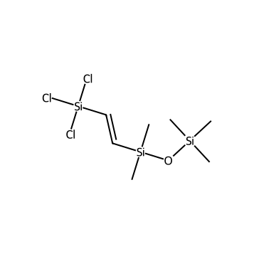 C[Si](C)(C)O[Si](C)(C)C=C[Si](Cl)(Cl)Cl